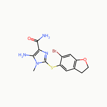 Cn1c(Sc2cc3c(cc2Br)OCC3)nc(C(N)=O)c1N